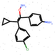 NO/C(=C(/c1ccc(Cl)cc1)C1CC1)c1ccc(N)cc1